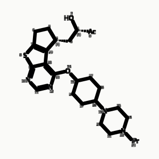 CC(=O)[C@@H](O)C[C@H]1CCc2sc3ncnc(OC4CCC(N5CCN(C(C)C)CC5)CC4)c3c21